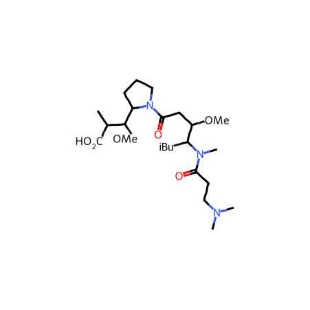 CCC(C)C(C(CC(=O)N1CCCC1C(OC)C(C)C(=O)O)OC)N(C)C(=O)CCN(C)C